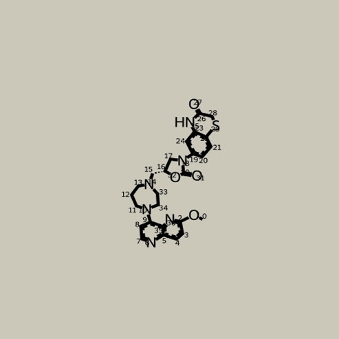 COc1ccc2nccc(N3CCCN(C[C@@H]4CN(c5ccc6c(c5)NC(=O)CS6)C(=O)O4)CC3)c2n1